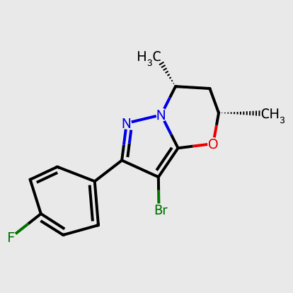 C[C@@H]1C[C@H](C)Oc2c(Br)c(-c3ccc(F)cc3)nn21